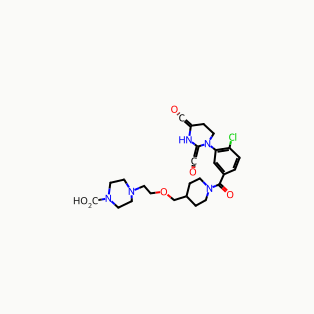 O=C=C1CCN(c2cc(C(=O)N3CCC(COCCN4CCN(C(=O)O)CC4)CC3)ccc2Cl)C(=C=O)N1